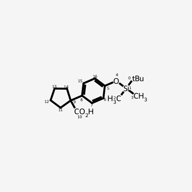 CC(C)(C)[Si](C)(C)Oc1ccc(C2(C(=O)O)CCCC2)cc1